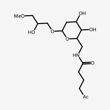 COCC(O)COC1CC(O)C(O)C(CNC(=O)CCCC(C)=O)O1